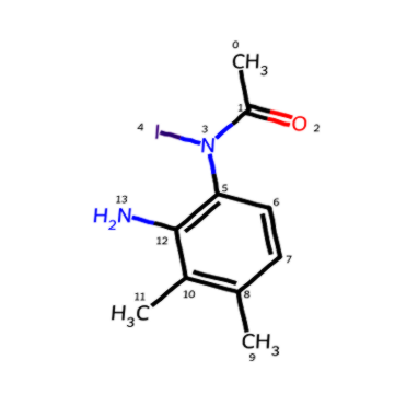 CC(=O)N(I)c1ccc(C)c(C)c1N